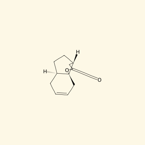 O=C1C[C@@H]2CC[C@@H]3CC=CC[C@]32O1